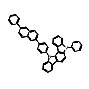 c1ccc(-c2ccc3cc(-c4ccc(-n5c6ccccc6c6ccc7c(c8ccccc8n7-c7ccccc7)c65)cc4)ccc3c2)cc1